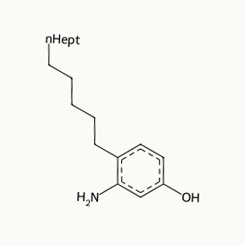 CCCCCCCCCCCCc1ccc(O)cc1N